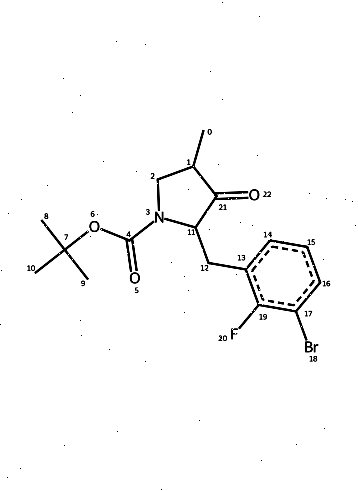 CC1CN(C(=O)OC(C)(C)C)C(Cc2cccc(Br)c2F)C1=O